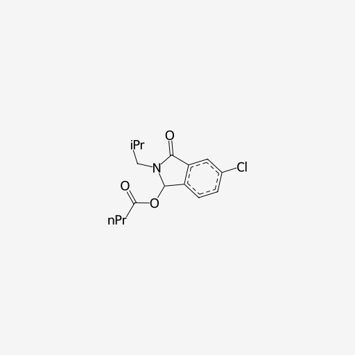 CCCC(=O)OC1c2ccc(Cl)cc2C(=O)N1CC(C)C